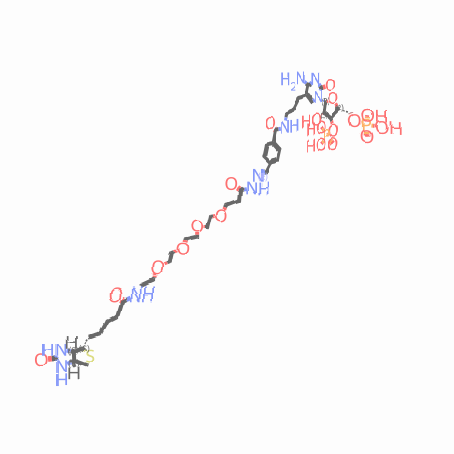 Nc1nc(=O)n([C@@H]2O[C@H](COP(=O)(O)O)C(OP(=O)(O)O)[C@@H]2O)cc1CCCNC(=O)c1ccc(/C=N/NC(=O)CCOCCOCCOCCOCCNC(=O)CCCC[C@@H]2SC[C@@H]3NC(=O)N[C@@H]32)cc1